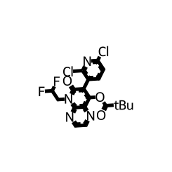 CC(C)(C)C(=O)Oc1c(-c2ccc(Cl)nc2Cl)c(=O)n(CC(F)F)c2nccnc12